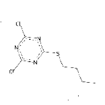 CCCCSc1nc(Cl)nc(Cl)n1